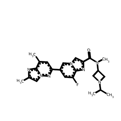 Cc1cn2nc(-c3cc(F)c4nc(C(=O)N(C)C5CN(C(C)C)C5)cn4c3)cc(C)c2n1